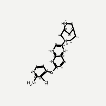 Nc1nccc(Sc2ccc3nc(N4CCC5CNC(C5)C4)cnc3n2)c1Cl